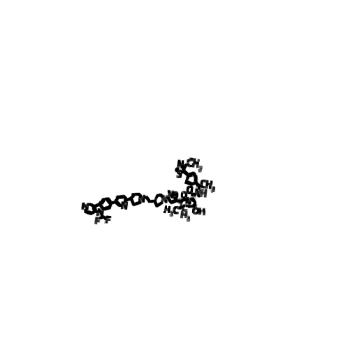 Cc1ncsc1-c1ccc([C@H](C)NC(=O)[C@@H]2C[C@@H](O)CN2C(=O)[C@H](c2cc(N3CCC(CCN4CCC(c5ccc(-c6ccc7c8cnccc8n(C(F)F)c7c6)cn5)CC4)CC3)no2)C(C)C)cc1